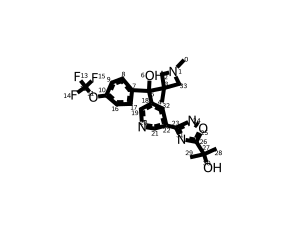 CN1CC(C)(C(O)(c2ccc(OC(F)(F)F)cc2)c2cncc(-c3noc(C(C)(C)O)n3)c2)C1